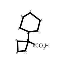 O=C(O)C1(C2CCCCC2)CCC1